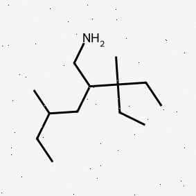 CCC(C)CC(CN)C(C)(CC)CC